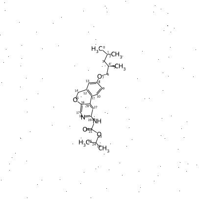 CC(C)C[C@@H](C)COc1ccc2c(c1)COc1cnc(NC(=O)OC(C)C)cc1-2